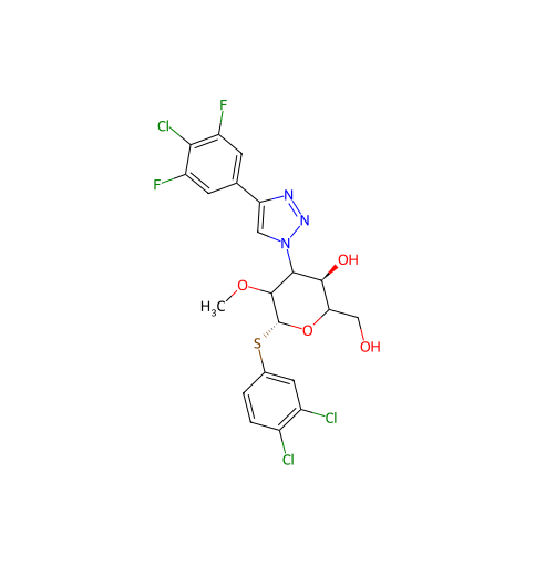 COC1C(n2cc(-c3cc(F)c(Cl)c(F)c3)nn2)[C@@H](O)C(CO)O[C@@H]1Sc1ccc(Cl)c(Cl)c1